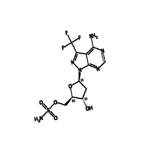 Nc1ncnc2c1c(C(F)(F)F)nn2[C@H]1C[C@H](O)[C@@H](COS(N)(=O)=O)O1